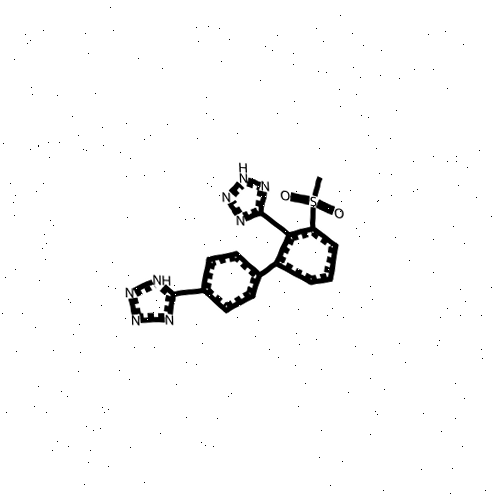 CS(=O)(=O)c1cccc(-c2ccc(-c3nnn[nH]3)cc2)c1-c1nn[nH]n1